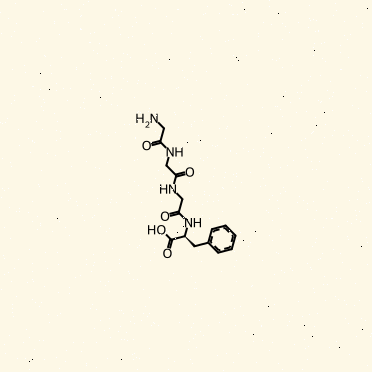 NCC(=O)NCC(=O)NCC(=O)N[C@@H](Cc1ccccc1)C(=O)O